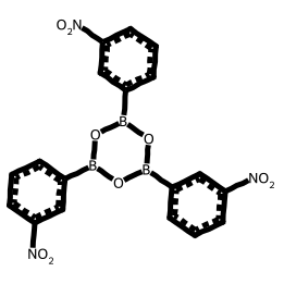 O=[N+]([O-])c1cccc(B2OB(c3cccc([N+](=O)[O-])c3)OB(c3cccc([N+](=O)[O-])c3)O2)c1